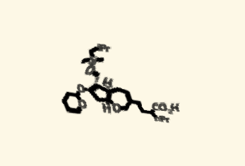 CCCC(CCC1=CC[C@@H]2[C@@H](CO[Si](C)(C)CC(C)C)[C@H](OC3CCCCO3)C[C@H]2OC1)C(=O)O